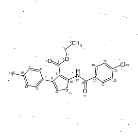 CCOC(=O)c1c(-c2ccc(F)cc2)csc1NC(=O)c1ccc(Cl)cc1